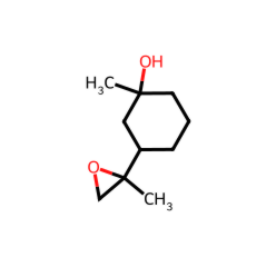 CC1(O)CCCC(C2(C)CO2)C1